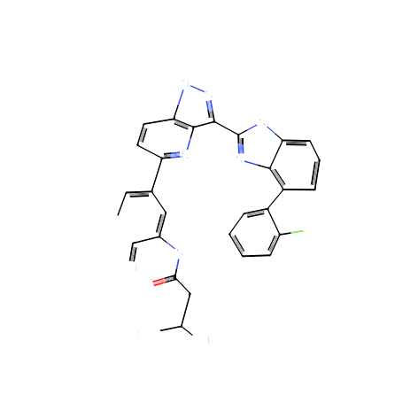 C=C/C(=C\C(=C/C)c1ccc2[nH]nc(-c3nc4c(-c5ccccc5F)cccc4[nH]3)c2n1)NC(=O)CC(C)C